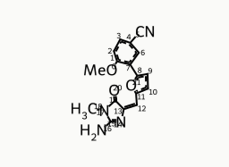 COc1ccc(C#N)cc1-c1ccc(C=C2N=C(N)N(C)C2=O)o1